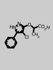 CC(Oc1n[nH]c(-c2ccccc2)c1Cl)C(=O)O